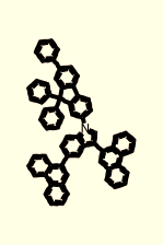 c1ccc(-c2ccc3c(c2)C(c2ccccc2)(c2ccccc2)c2cc(-n4cc(-c5cc6ccccc6c6ccccc56)c5cc(-c6cc7ccccc7c7ccccc67)ccc54)ccc2-3)cc1